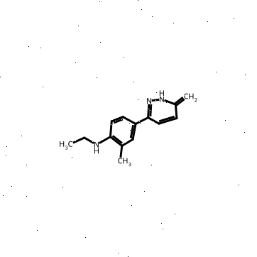 C=C1C=CC(c2ccc(NCC)c(C)c2)=NN1